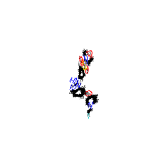 O=S(=O)(c1ccc(Nc2ncc3ccc(OC4CCN(CCF)CC4)cc3n2)cc1)N1CCOCC1